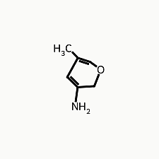 CC1=COCC(N)=C1